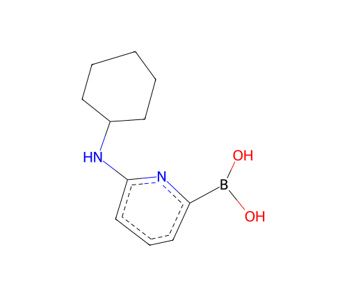 OB(O)c1cccc(NC2CCCCC2)n1